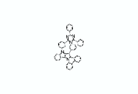 c1ccc(-c2nc(-c3ccccc3)nc(-c3cccc(-n4c5ccccc5c5c4c(-c4ccccc4)c4c6ccccc6c6ccccc6n45)c3)n2)cc1